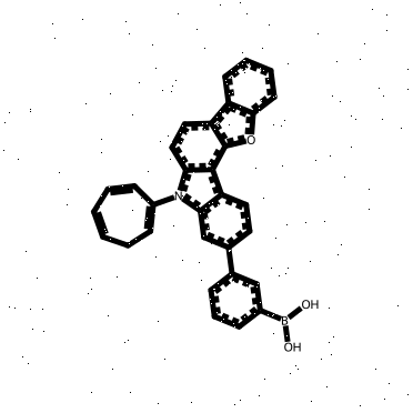 OB(O)c1cccc(-c2ccc3c4c5oc6ccccc6c5ccc4n(C4=CCC=CC=C4)c3c2)c1